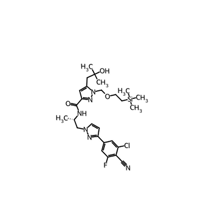 C[C@@H](Cn1ccc(-c2cc(F)c(C#N)c(Cl)c2)n1)NC(=O)c1cc(CC(C)(C)O)n(COCC[Si](C)(C)C)n1